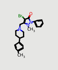 Cc1ccc(C2CCN(Cc3c(Br)c(=O)n(-c4ccccc4)n3C)CC2)cc1